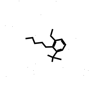 C[CH]CCCc1c(CC)cccc1C(C)(C)C